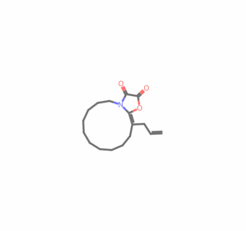 C=CCC1=C2OC(=O)C(=O)N2CCCCCCCCCC1